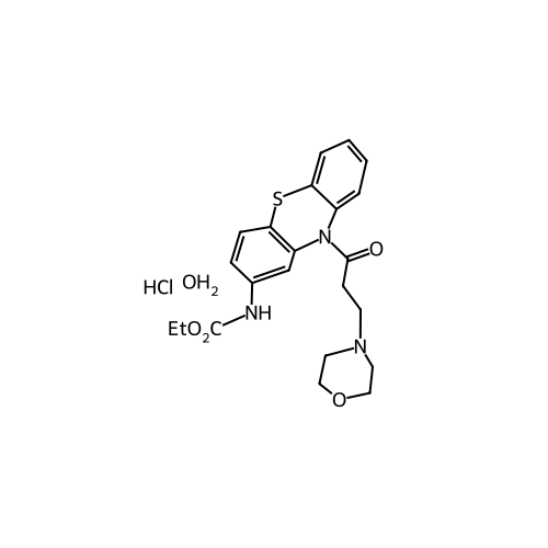 CCOC(=O)Nc1ccc2c(c1)N(C(=O)CCN1CCOCC1)c1ccccc1S2.Cl.O